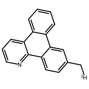 [2H]Cc1ccc2c(c1)c1ccccc1c1cccnc12